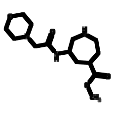 COC(=O)C1CCNCC(NC(=O)CN2CCOCC2)C1